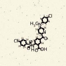 CN(c1ccc(Cl)cc1)c1ccc(C(=O)c2ccc(NS(=O)(=O)c3ccc(Cl)cc3)c(C(=O)O)c2)nc1